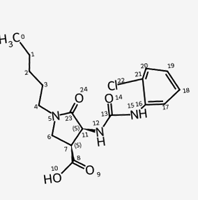 CCCCCN1C[C@H](C(=O)O)[C@H](NC(=O)Nc2ccccc2Cl)C1=O